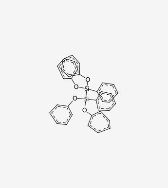 c1ccc(O[Si](Oc2ccccc2)(c2ccccc2)[Si](Oc2ccccc2)(Oc2ccccc2)c2ccccc2)cc1